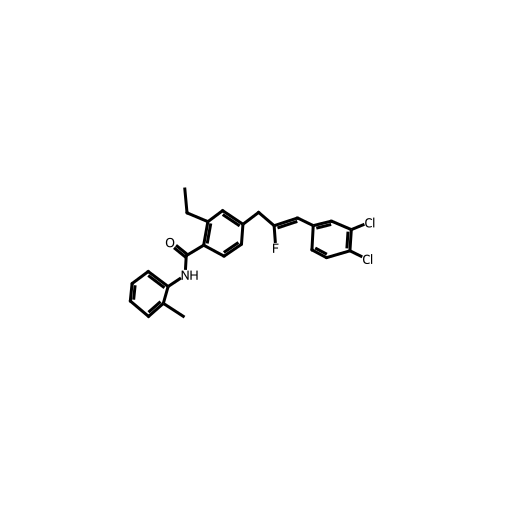 CCc1cc(CC(F)=Cc2ccc(Cl)c(Cl)c2)ccc1C(=O)Nc1ccccc1C